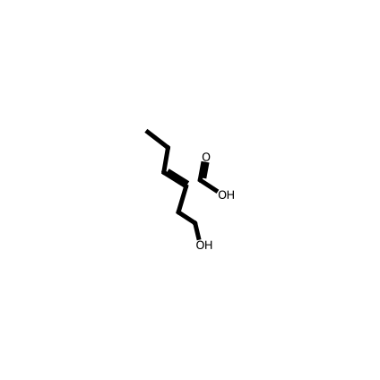 CCC=CCCO.O=CO